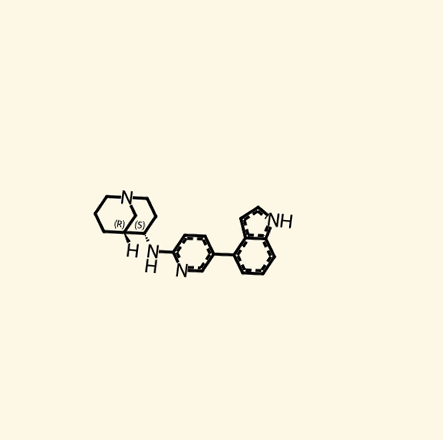 c1cc(-c2ccc(N[C@H]3CCN4CCC[C@@H]3C4)nc2)c2cc[nH]c2c1